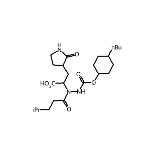 CCCCC1CCC(OC(=O)NN(C(=O)CCC(C)C)C(CC2CCNC2=O)C(=O)O)CC1